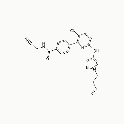 C=NCCn1cc(Nc2ncc(Cl)c(-c3ccc(C(=O)NCC#N)cc3)n2)cn1